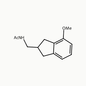 COc1cccc2c1CC(CNC(C)=O)C2